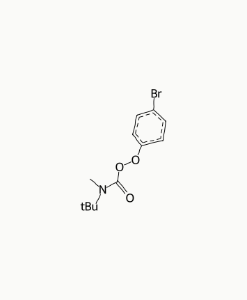 CN(C(=O)OOc1ccc(Br)cc1)C(C)(C)C